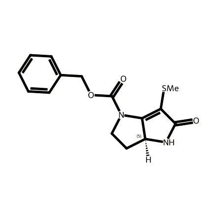 CSC1=C2[C@H](CCN2C(=O)OCc2ccccc2)NC1=O